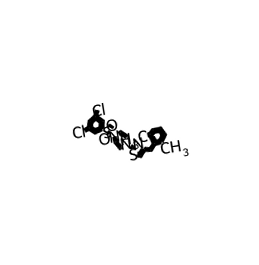 Cc1cccc(C)c1Cc1csc(N2CCN(S(=O)(=O)c3cc(Cl)cc(Cl)c3)CC2)n1